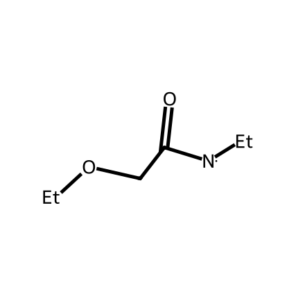 CC[N]C(=O)COCC